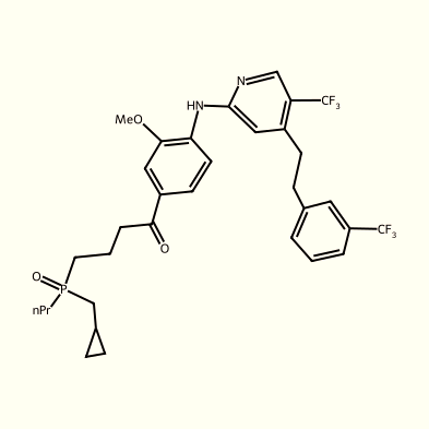 CCCP(=O)(CCCC(=O)c1ccc(Nc2cc(CCc3cccc(C(F)(F)F)c3)c(C(F)(F)F)cn2)c(OC)c1)CC1CC1